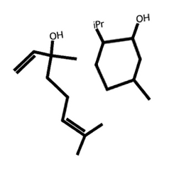 C=CC(C)(O)CCC=C(C)C.CC1CCC(C(C)C)C(O)C1